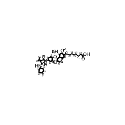 COc1cc2c(Oc3ccc(NC(=O)C4(C(=O)Nc5ccc(F)cc5)CC4)cc3Cl)ccnc2cc1OCCCCCCC(=O)O.[KH]